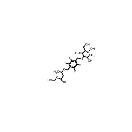 CC(CC(O)OCO)OCc1c(F)c(F)c(COC(C(C)O)C(O)C(CO)OO)c(F)c1F